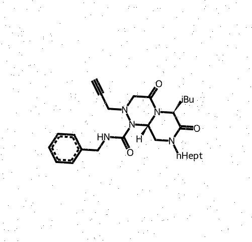 C#CCN1CC(=O)N2[C@@H](C(C)CC)C(=O)N(CCCCCCC)C[C@@H]2N1C(=O)NCc1ccccc1